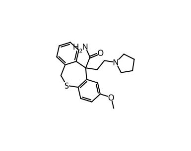 COc1ccc2c(c1)C(CCN1CCCC1)(C(N)=O)c1ccccc1CS2